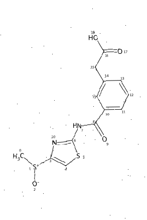 C[S+]([O-])c1csc(NC(=O)c2cccc(CC(=O)O)c2)n1